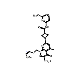 CN/C=C\SCn1cc(C(=O)O)c(=O)c2c(C)cc(N3CC(C(=O)Nc4cccc(OC)n4)C3)nc21